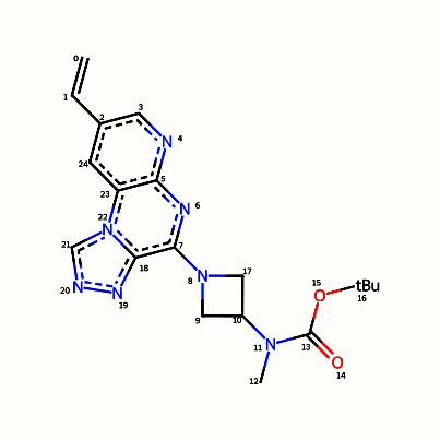 C=Cc1cnc2nc(N3CC(N(C)C(=O)OC(C)(C)C)C3)c3nncn3c2c1